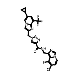 O=C(NCc1ncn2ccc(Cl)c(F)c12)c1cn(Cc2cn3cc(C4CC4)cc(C(F)(F)F)c3n2)nn1